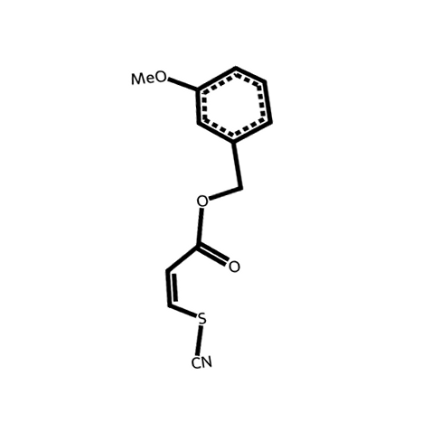 COc1cccc(COC(=O)/C=C\SC#N)c1